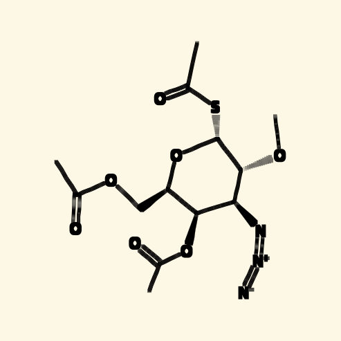 CO[C@@H]1[C@@H](N=[N+]=[N-])[C@@H](OC(C)=O)[C@@H](COC(C)=O)O[C@@H]1SC(C)=O